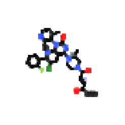 COC(=O)/C=C/C(=O)N1CCN(c2nc(=O)n(-c3c(C)ccnc3C(C)C)c3nc(-c4ccccc4F)c(Cl)cc23)[C@@H](C)C1